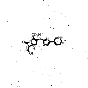 C[C@H]1CC=C(c2csc(SC3=C(C(=O)O)N4C(=O)[C@H]([C@@H](C)O)[C@H]4[C@H]3C)n2)CN1